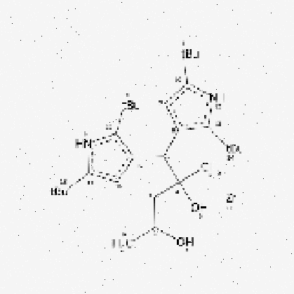 CC(O)CC(C)(O)C(c1cc(C(C)(C)C)[nH]c1C(C)(C)C)c1cc(C(C)(C)C)[nH]c1C(C)(C)C.[Zr]